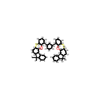 CC1(C)c2ccccc2-c2c1ccc1c2Oc2c(cccc2-c2cccc(-c3cccc4c3Oc3c(ccc5c3-c3ccccc3C5(C)C)S4)c2)S1